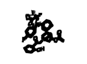 CC(=O)OC1C[N+]2(CC(=O)c3ccccc3O)CCC1CC2.Fc1ccc(Nc2ccccc2)cc1.O=C([O-])C(F)(F)F